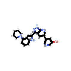 Oc1cncc(-c2cnc3[nH]nc(-c4cc5c(N6CCCCC6)cccc5[nH]4)c3c2)c1